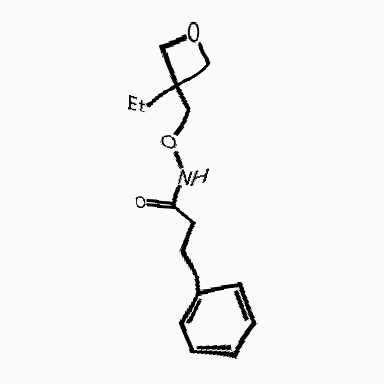 CCC1(CONC(=O)CCc2ccccc2)COC1